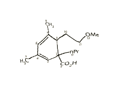 CCCC1(C(=O)O)C=C(C)C=C(C)C1CCOC